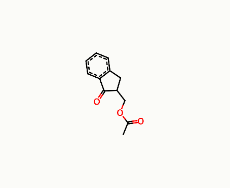 CC(=O)OCC1Cc2ccccc2C1=O